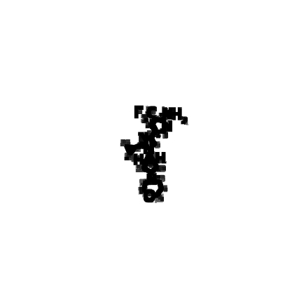 Nc1ncc(-c2cn([C@H]3[C@@H]4CC(N5CCCOCC5)C[C@@H]43)c(C3CC3)n2)cc1C(F)(F)F